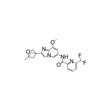 COc1cc(NC(=O)c2cccc(C(F)F)n2)cn2cc(C34COC(C)(C3)C4)nc12